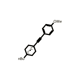 CCCCC12CCC(C#Cc3ccc(OC)cc3)(CC1)CC2